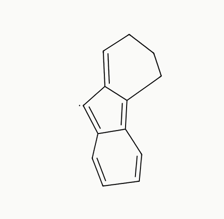 [C]1=c2ccccc2=C2CCCC=C12